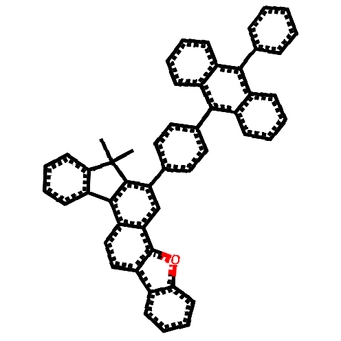 CC1(C)c2ccccc2-c2c1c(-c1ccc(-c3c4ccccc4c(-c4ccccc4)c4ccccc34)cc1)cc1c2ccc2c3ccccc3oc12